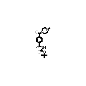 C[C@H](NC(=O)OC(C)(C)C)c1ccc(C(=O)N2CCN(C)CC2)cc1